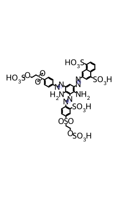 Nc1c(/N=N/c2ccc(S(=O)(=O)CCOS(=O)(=O)O)cc2)cc(/N=N/c2cc(S(=O)(=O)O)c3cccc(S(=O)(=O)O)c3c2)c(N)c1/N=N/c1ccc(S(=O)(=O)CCOS(=O)(=O)O)cc1S(=O)(=O)O